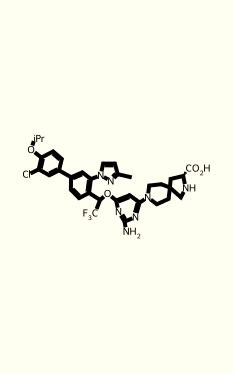 Cc1ccn(-c2cc(-c3ccc(OC(C)C)c(Cl)c3)ccc2C(Oc2cc(N3CCC4(CC3)CN[C@H](C(=O)O)C4)nc(N)n2)C(F)(F)F)n1